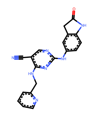 N#Cc1cnc(Nc2ccc3c(c2)CC(=O)N3)nc1NCc1ccccn1